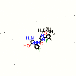 BC(B)(B)Oc1ccc(C)c(F)c1-c1nccc(C(=O)Nc2cc(F)ccc2N2CC(N)C[C@H]2CO)n1